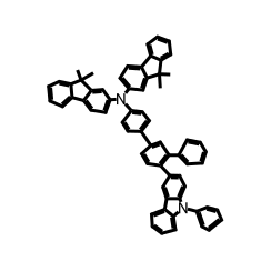 CC1(C)c2ccccc2-c2ccc(N(c3ccc(-c4ccc(-c5ccc6c(c5)c5ccccc5n6-c5ccccc5)c(-c5ccccc5)c4)cc3)c3ccc4c(c3)C(C)(C)c3ccccc3-4)cc21